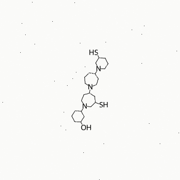 OC1CCCC(N2CCC(N3CCCC(N4CCCC(S)C4)CC3)CC(S)C2)C1